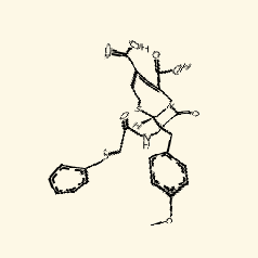 COc1ccc(CC2(NC(=O)CSc3ccccc3)C(=O)N3C(C(=O)O)=C(C(=O)O)CS[C@H]32)cc1